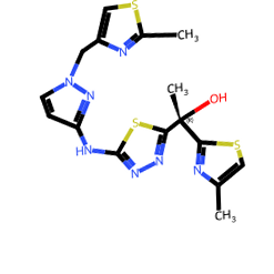 Cc1csc([C@@](C)(O)c2nnc(Nc3ccn(Cc4csc(C)n4)n3)s2)n1